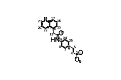 COC(=O)C=Cc1ccc(NC(=O)Cc2cccc3ccccc23)cc1